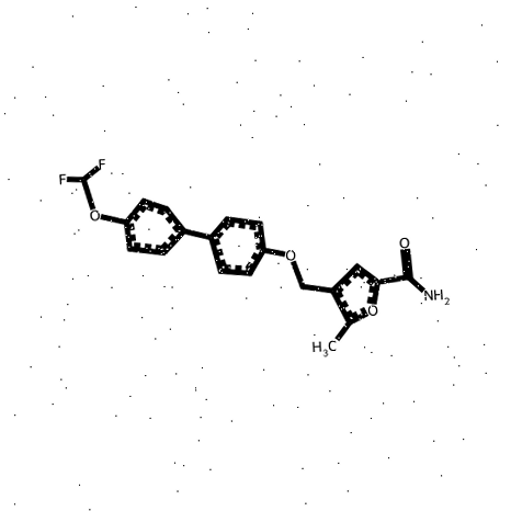 Cc1oc(C(N)=O)cc1COc1ccc(-c2ccc(OC(F)F)cc2)cc1